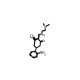 CN(C)CCNC=C1C(=O)CC(c2ccccc2N)CC1=O